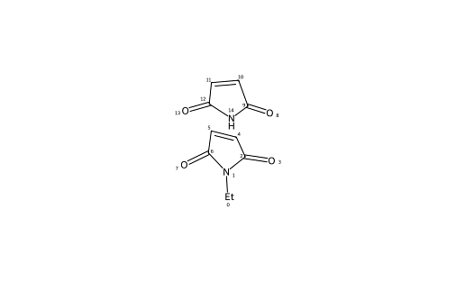 CCN1C(=O)C=CC1=O.O=C1C=CC(=O)N1